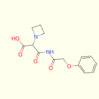 O=C(COc1ccccc1)NC(=O)C(C(=O)O)N1CCC1